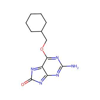 Nc1nc(OCC2CCCCC2)c2c(n1)=NC(=O)N=2